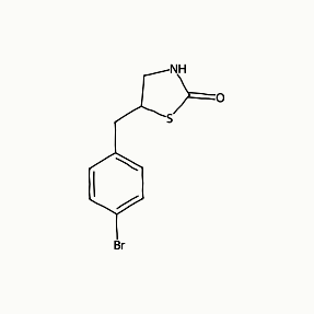 O=C1NCC(Cc2ccc(Br)cc2)S1